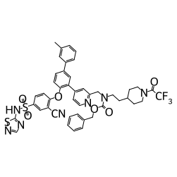 Cc1cccc(-c2ccc(Oc3ccc(S(=O)(=O)Nc4ncns4)cc3C#N)c(-c3ccnc(CN(CCC4CCN(C(=O)C(F)(F)F)CC4)C(=O)OCc4ccccc4)c3)c2)c1